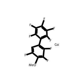 COc1c(F)cc(-c2c(F)c(F)c(F)c(F)c2F)c(F)c1F.[Ga]